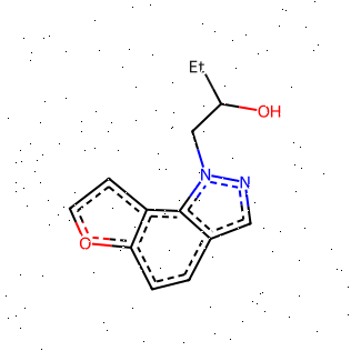 CCC(O)Cn1ncc2ccc3occc3c21